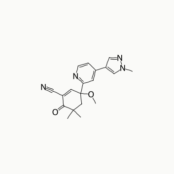 COC1(c2cc(-c3cnn(C)c3)ccn2)C=C(C#N)C(=O)C(C)(C)C1